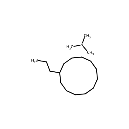 BCCC1CCCCCCCCCCC1.CN(C)C